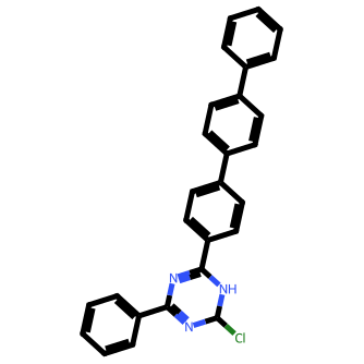 ClC1N=C(c2ccccc2)N=C(c2ccc(-c3ccc(-c4ccccc4)cc3)cc2)N1